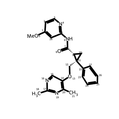 COc1ccnc(NC(=O)[C@@H]2C[C@@]2(COc2cnc(C)nc2C)c2ccccc2)c1